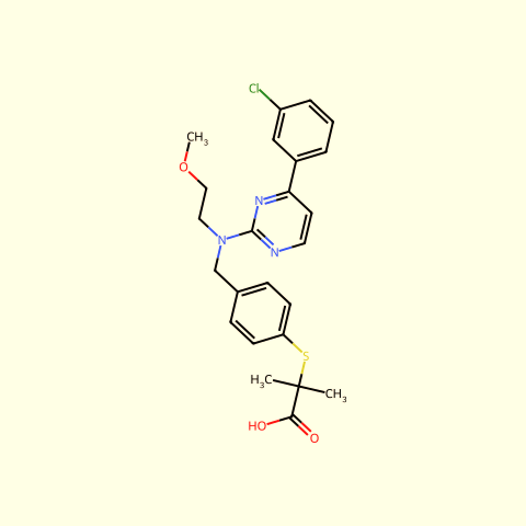 COCCN(Cc1ccc(SC(C)(C)C(=O)O)cc1)c1nccc(-c2cccc(Cl)c2)n1